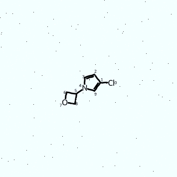 Clc1ccn(C2COC2)c1